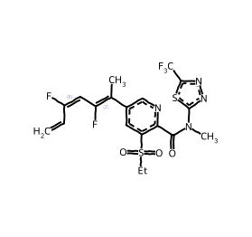 C=C/C(F)=C\C(F)=C(/C)c1cnc(C(=O)N(C)c2nnc(C(F)(F)F)s2)c(S(=O)(=O)CC)c1